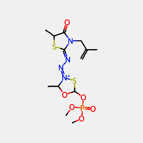 C=C(C)CN1C(=O)C(C)SC1=NN=[N+]1SC(OP(=O)(OC)OC)OC1C